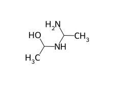 CC(N)NC(C)O